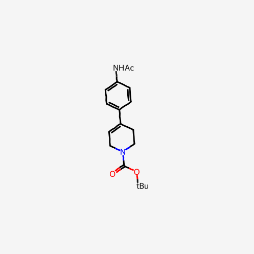 CC(=O)Nc1ccc(C2=CCN(C(=O)OC(C)(C)C)CC2)cc1